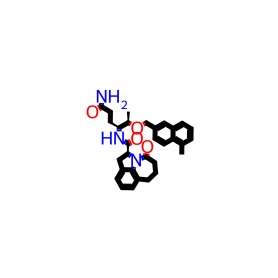 Cc1cccc2cc(CO[C@H](C)[C@H](CCC(N)=O)NC(=O)[C@@H]3Cc4cccc5c4N3C(=O)CCC5)ccc12